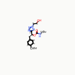 COc1ccc(C[C@H](OC(=O)NC(C)(C)C)c2nnn(CCO)n2)cc1